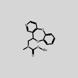 CN(CC1Oc2ccccc2Oc2ccncc21)C(=O)OC(C)(C)C